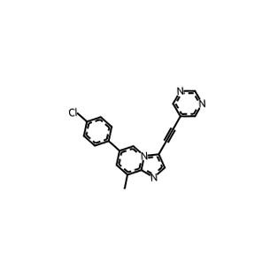 Cc1cc(-c2ccc(Cl)cc2)cn2c(C#Cc3cncnc3)cnc12